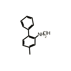 Cc1ccc(-c2ccccc2)c(N)c1.Cl